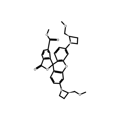 COC[C@H]1CCN1c1ccc2c(c1)Oc1cc(N3CC[C@@H]3COC)ccc1C21OC(=O)c2ccc(C(=O)OC)cc21